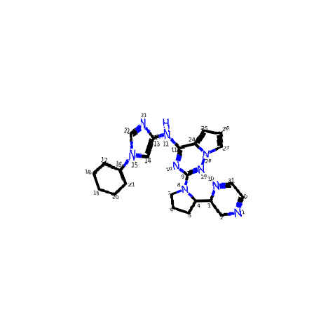 C1=NCC(C2CCCN2c2nc(Nc3cn(C4CCCCC4)cn3)c3cccn3n2)N=C1